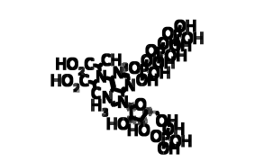 CC(C(=O)O)N(c1ncnc2c1ncn2[C@@H]1O[C@H](CO)[C@@H](O)[C@H]1O)C(C)C(=O)O.O=P(O)(O)O.O=P(O)(O)O.O=P(O)(O)O.O=P(O)(O)O